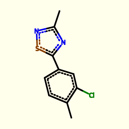 Cc1nsc(-c2ccc(C)c(Cl)c2)n1